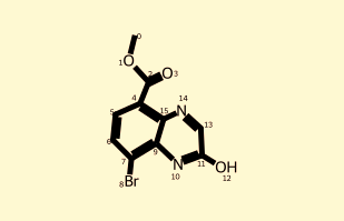 COC(=O)c1ccc(Br)c2nc(O)cnc12